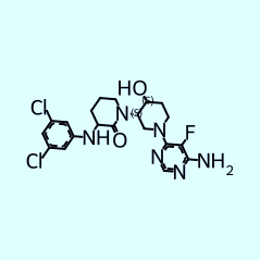 Nc1ncnc(N2CC[C@H](O)[C@@H](N3CCCC(Nc4cc(Cl)cc(Cl)c4)C3=O)C2)c1F